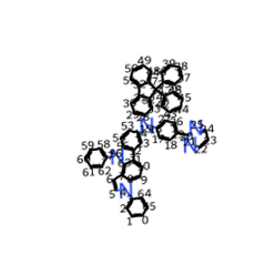 c1ccc(-n2ccc3c2ccc2c4cc(N(c5ccc(-c6ncccn6)cc5)c5ccc6c(c5)C(c5ccccc5)(c5ccccc5)c5ccccc5-6)ccc4n(-c4ccccc4)c23)cc1